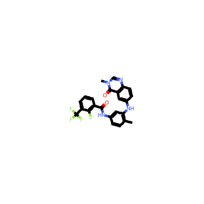 Cc1ccc(NC(=O)c2cccc(C(F)(F)F)c2F)cc1Nc1ccc2ncn(C)c(=O)c2c1